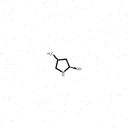 CC1CN[C@H](O)C1